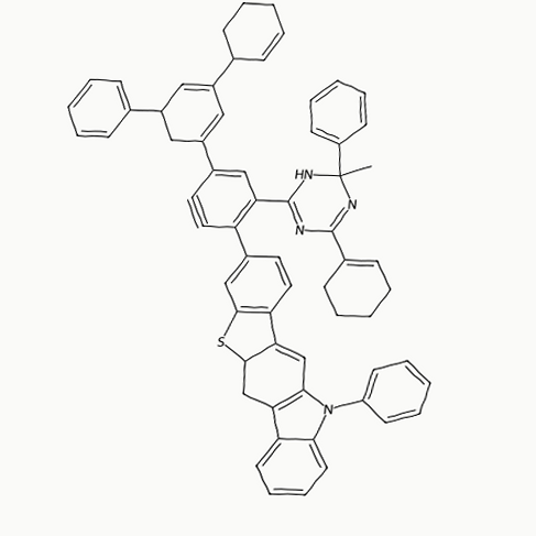 CC1(c2ccccc2)N=C(C2=CCCCC2)N=C(c2cc(C3=CC(C4C=CCCC4)=CC(c4ccccc4)C3)c#cc2-c2ccc3c(c2)SC2Cc4c(n(-c5ccccc5)c5ccccc45)C=C32)N1